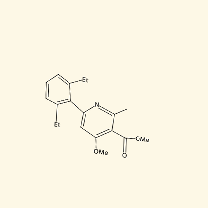 CCc1cccc(CC)c1-c1cc(OC)c(C(=O)OC)c(C)n1